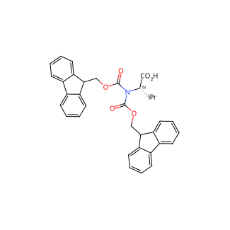 CC(C)[C@@H](C(=O)O)N(C(=O)OCC1c2ccccc2-c2ccccc21)C(=O)OCC1c2ccccc2-c2ccccc21